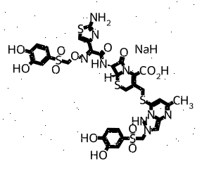 CC1=NC2=CN(CS(=O)(=O)c3ccc(O)c(O)c3)NN2C(SCC2=C(C(=O)O)N3C(=O)[C@@H](NC(=O)C(=NOCS(=O)(=O)c4ccc(O)c(O)c4)c4csc(N)n4)[C@H]3SC2)=C1.[NaH]